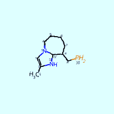 CC1=CN2CCCCC(CP)C2N1